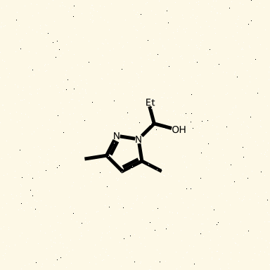 CCC(O)n1nc(C)cc1C